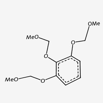 COCOc1cccc(OCOC)c1OCOC